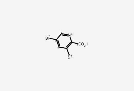 CCc1cc(Br)cnc1C(=O)O